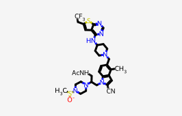 CC(=O)NCC(Cn1c(C#N)cc2c(C)c(CN3CCC(Nc4ncnc5sc(CC(F)(F)F)cc45)CC3)ccc21)N1CCN([S+](C)[O-])CC1